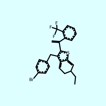 C=C(c1ccccc1C(F)(F)F)c1sc2c(c1Cc1ccc(Br)cc1)=CCC(CC)C=2